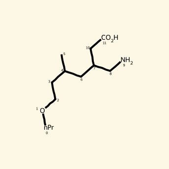 CCCOCCC(C)CC(CN)CC(=O)O